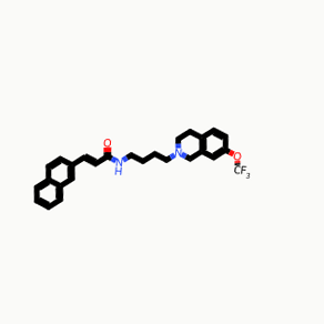 O=C(C=Cc1ccc2ccccc2c1)NCCCCN1CCc2ccc(OC(F)(F)F)cc2C1